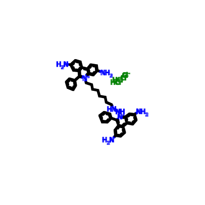 Cl.Cl.Nc1ccc2c(c1)c(-c1ccccc1)[n+](CCCCCCCCNN[n+]1c(-c3ccccc3)c3cc(N)ccc3c3ccc(N)cc31)c1cc(N)ccc21.[Cl-].[Cl-]